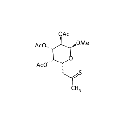 CO[C@H]1O[C@H](CC(C)=S)[C@H](OC(C)=O)[C@H](OC(C)=O)[C@H]1OC(C)=O